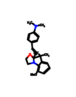 COc1cccc2c1N1CCOC1(C=Cc1ccc(N(C)C)cc1)C2(C)C